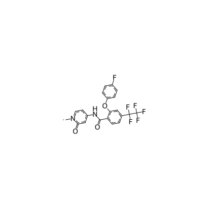 [CH2]n1ccc(NC(=O)c2ccc(C(F)(F)C(F)(F)F)cc2Oc2ccc(F)cc2)cc1=O